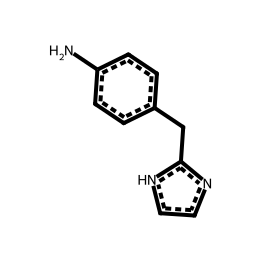 Nc1ccc(Cc2ncc[nH]2)cc1